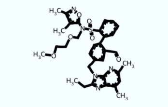 CCc1nc2c(C)cc(C)nc2n1Cc1ccc(-c2ccccc2S(=O)(=O)N(COCCOC)c2onc(C)c2C)c(C=O)c1